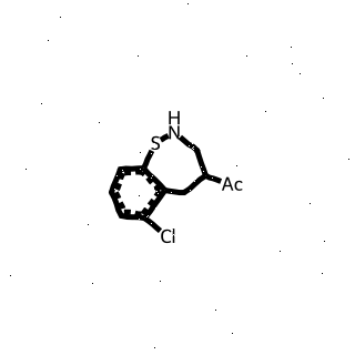 CC(=O)C1CNSc2cccc(Cl)c2C1